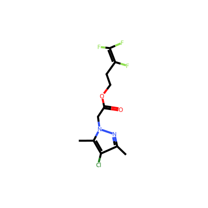 Cc1nn(CC(=O)OCCC(F)=C(F)F)c(C)c1Cl